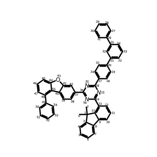 CC1(C)c2ccccc2-c2cccc(-c3nc(-c4ccc(-c5cccc(-c6ccccc6)c5)cc4)nc(-c4ccc5c(c4)oc4cccc(-c6ccccc6)c45)n3)c21